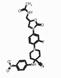 CC(=O)NCC1CN(c2ccc(N3CCC(C#N)(Nc4ccc([N+](=O)[O-])cc4)CC3)c(F)c2)C(=O)O1